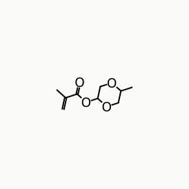 C=C(C)C(=O)OC1COC(C)CO1